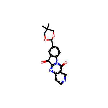 CC1(C)COC(c2ccc3c(c2)C(=O)c2nc4ccncc4c(=O)n2-3)OC1